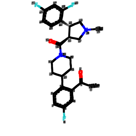 CNC(=O)c1cc(F)ccc1C1CCN(C(=O)[C@@H]2CN(C(C)(C)C)C[C@H]2c2ccc(F)cc2F)CC1